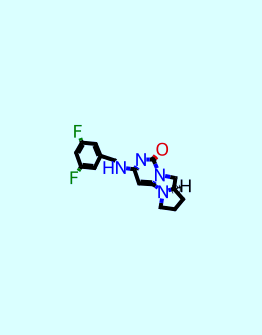 O=c1nc(NCc2cc(F)cc(F)c2)cc2n1C[C@H]1CCCN21